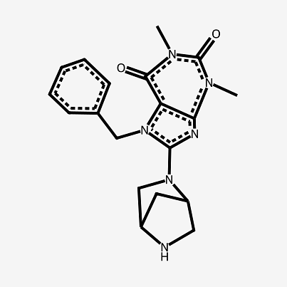 Cn1c(=O)c2c(nc(N3CC4CC3CN4)n2Cc2ccccc2)n(C)c1=O